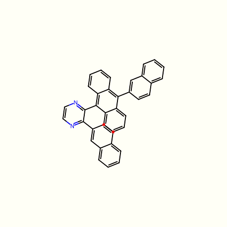 c1ccc2cc(-c3nccnc3-c3c4ccccc4c(-c4ccc5ccccc5c4)c4ccccc34)ccc2c1